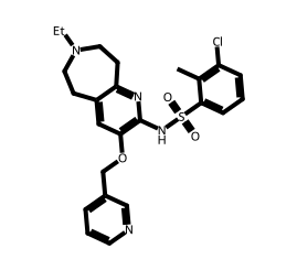 CCN1CCc2cc(OCc3cccnc3)c(NS(=O)(=O)c3cccc(Cl)c3C)nc2CC1